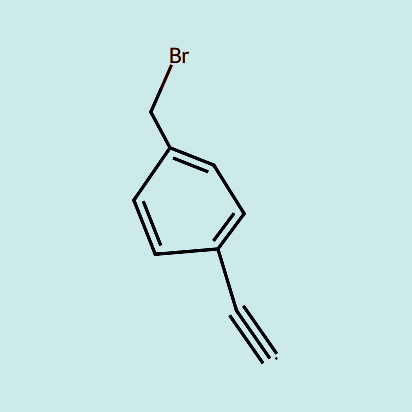 [C]#Cc1ccc(CBr)cc1